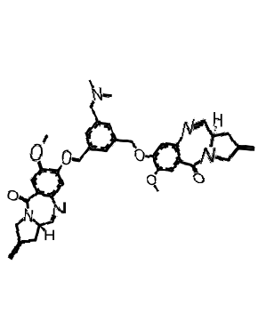 C=C1C[C@H]2C=Nc3cc(OCc4cc(COc5cc6c(cc5OC)C(=O)N5CC(=C)C[C@@H]5C=N6)cc(CN(C)C)c4)c(OC)cc3C(=O)N2C1